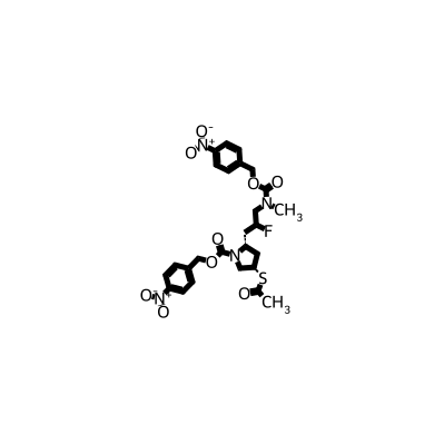 CC(=O)S[C@H]1C[C@@H](CC(F)CN(C)C(=O)OCc2ccc([N+](=O)[O-])cc2)N(C(=O)OCc2ccc([N+](=O)[O-])cc2)C1